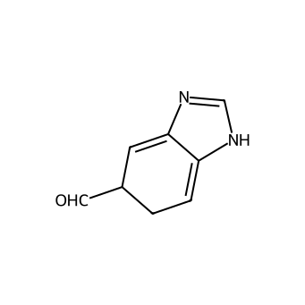 O=CC1C=c2nc[nH]c2=CC1